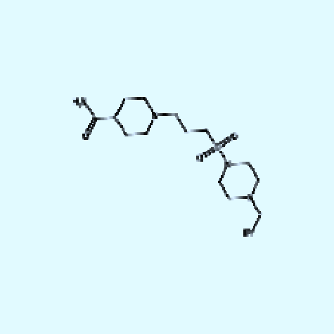 CC(C)CN1CCN(S(=O)(=O)CCCN2CCC(C(N)=O)CC2)CC1